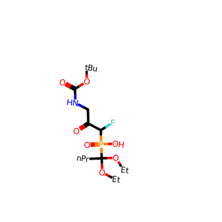 CCCC(OCC)(OCC)P(=O)(O)C(F)C(=O)CNC(=O)OC(C)(C)C